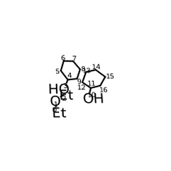 CCOCC.OC1CCCCC1.OC1CCCCC1